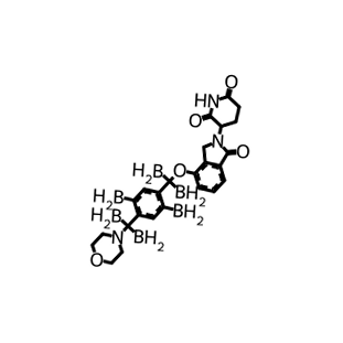 Bc1cc(C(B)(B)N2CCOCC2)c(B)cc1C(B)(B)Oc1cccc2c1CN(C1CCC(=O)NC1=O)C2=O